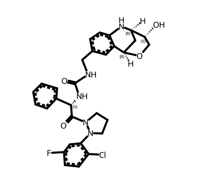 O=C(NCc1ccc2c(c1)[C@H]1C[C@@H](N2)[C@H](O)CO1)N[C@H](C(=O)N1CCCN1c1cc(F)ccc1Cl)c1ccccc1